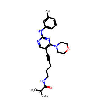 CN[C@@H](C)C(=O)NCCCC#Cc1cnc(Nc2cccc(C#N)c2)nc1N1CCOCC1